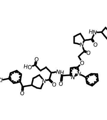 O=C(O)CCC(NC(=O)c1cc(OCC(=O)N2CCCC2C(=O)NC2CCC2)n(-c2ccccc2)n1)C(=O)N1CCC(C(=O)c2cccc(Cl)c2)CC1